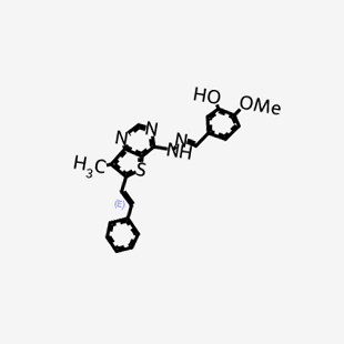 COc1ccc(C=NNc2ncnc3c(C)c(/C=C/c4ccccc4)sc23)cc1O